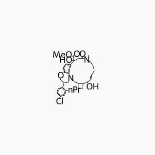 CCCc1cc(Cl)ccc1C1COc2ccc3cc2N(C1)CC1CCC1C(O)/C=C/CCCN(C)C(=O)C[C@@]3(O)C(=O)OC